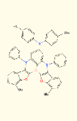 CC(C)(C)c1ccc(N(c2ccc(C(C)(C)C)cc2)c2cc3c4c(c2)N(c2ccccc2)c2c(oc5c(C(C)(C)C)cccc25)B4c2oc4c(C(C)(C)C)cccc4c2N3c2ccccc2)cc1